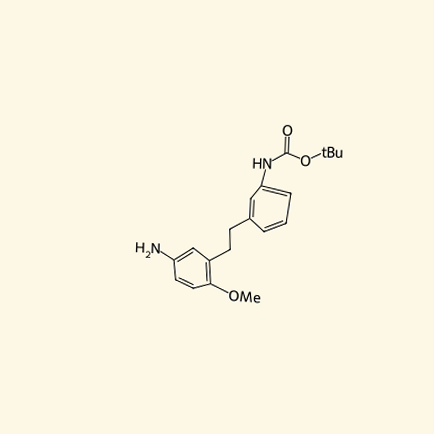 COc1ccc(N)cc1CCc1cccc(NC(=O)OC(C)(C)C)c1